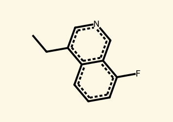 CCc1cncc2c(F)cccc12